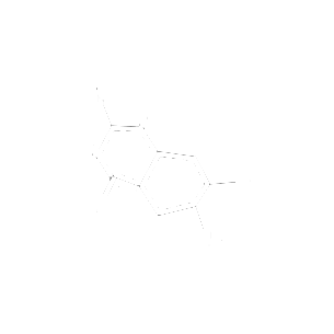 Cc1cc2c(=O)[nH]c(N)nc2cc1F